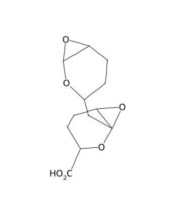 O=C(O)C1CCC2OC2(CC2CCC3OC3O2)O1